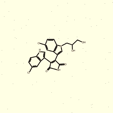 O=C1NC(=O)C(c2cn(CC(O)CO)c3ccc(Cl)cc23)=C1c1c[nH]c2ccc(Cl)cc12